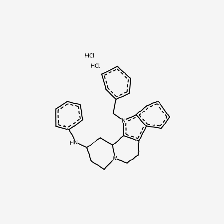 Cl.Cl.c1ccc(Cn2c3c(c4ccccc42)CCN2CCC(Nc4ccccc4)CC32)cc1